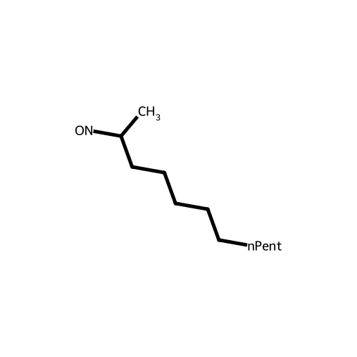 CCCCCCCCCCC(C)N=O